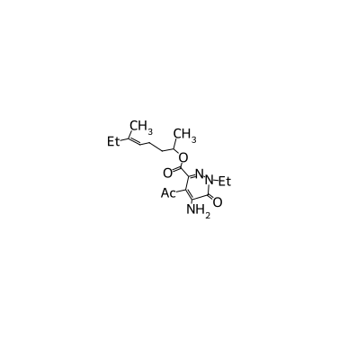 CC/C(C)=C/CCC(C)OC(=O)c1nn(CC)c(=O)c(N)c1C(C)=O